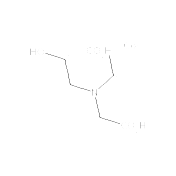 O=C(O)CN(CCO)CC(=O)O.[Co]